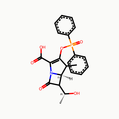 CC1C(OP(=O)(c2ccccc2)c2ccccc2)=C(C(=O)O)N2C(=O)C([C@@H](C)O)[C@H]12